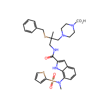 CN(c1cccc2cc(C(=O)NCC(C)(CN3CCN(C(=O)O)CC3)SCc3ccccc3)[nH]c12)S(=O)(=O)c1cccs1